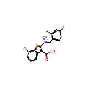 CN(CC1=CCC(F)C=C1F)c1sc2c(Cl)cccc2c1C(=O)O